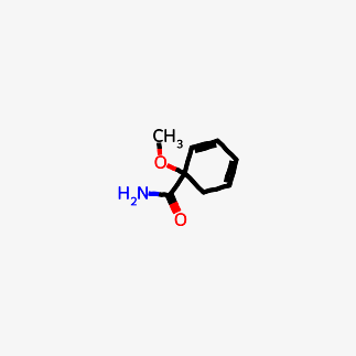 COC1(C(N)=O)C=CC=CC1